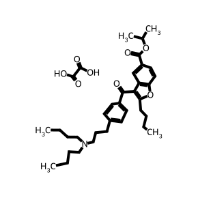 CCCCc1oc2ccc(C(=O)OC(C)C)cc2c1C(=O)c1ccc(CCCN(CCCC)CCCC)cc1.O=C(O)C(=O)O